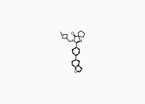 CN1CC(CN2C(=O)C3(CCCC3)N=C2c2ccc(-c3ccc4occc4c3)cc2)C1